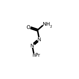 CCCN=NC(N)=O